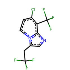 FC(F)(F)Cc1cnc2c(C(F)(F)F)c(Cl)ccn12